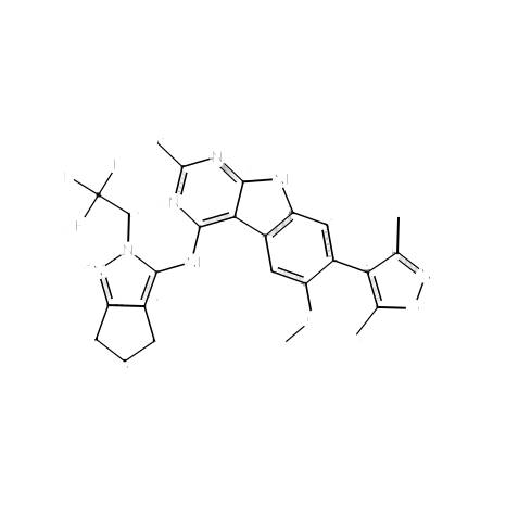 COc1cc2c(cc1-c1c(C)noc1C)[nH]c1nc(C)nc(Nc3c4c(nn3CC(F)(F)F)CCC4)c12